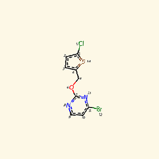 Clc1ccc(COc2nccc(Br)n2)s1